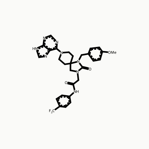 COc1ccc(CN2C(=O)N(CC(=O)Nc3ccc(C(F)(F)F)cc3)CC23CCN(c2ncnc4[nH]cnc24)CC3)cc1